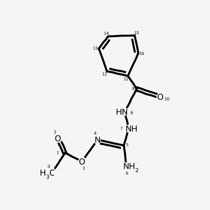 CC(=O)ON=C(N)NNC(=O)c1ccccc1